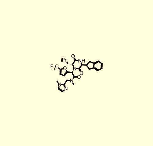 CC(C)C[C@@H]1C(=O)NC(C2Cc3ccccc3C2)C(=O)N1[C@@H](C(=O)N(C)Cc1nccn1C)c1ccc(C(F)(F)F)o1